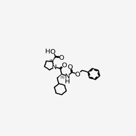 O=C(N[C@@H](CC1CCCCC1)C(=O)N1CCC[C@H]1C(=O)O)OCc1ccccc1